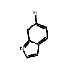 [2H]C1=CC=C2C=CN=C2C1